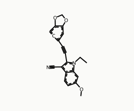 CCn1c(C#Cc2ccc3c(c2)OCO3)c(C#N)c2ccc(OC)cc21